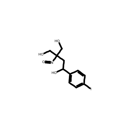 O=NC(CO)(CO)CC(O)c1ccc(I)cc1